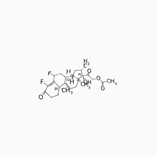 CC(=O)OCC(=O)[C@@]1(O)C(C)C[C@H]2[C@@H]3CC(F)C4=C(F)C(=O)CC[C@]4(C)C3=CC[C@@]21C